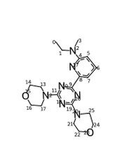 CCN(C)c1cccc(-c2nc(N3CCOCC3)nc(N3CCOCC3)n2)n1